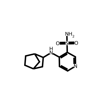 NS(=O)(=O)c1cnccc1NC1CC2CCC1C2